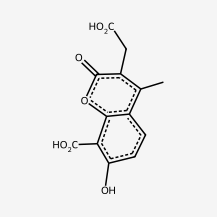 Cc1c(CC(=O)O)c(=O)oc2c(C(=O)O)c(O)ccc12